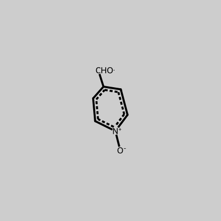 O=[C]c1cc[n+]([O-])cc1